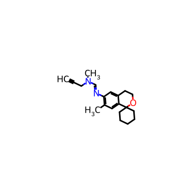 C#CCN(C)/C=N/c1cc2c(cc1C)C1(CCCCC1)OCC2